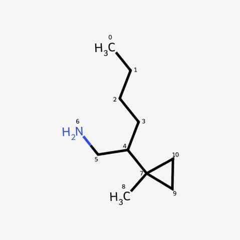 CCCCC(CN)C1(C)CC1